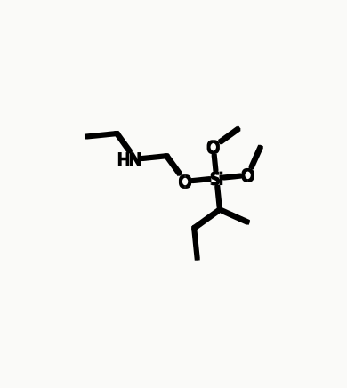 CCNCO[Si](OC)(OC)C(C)CC